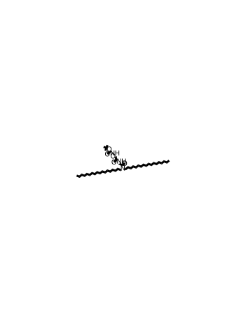 CCCCCCCCCCCCCCCCCCN(CCCCCCCCCCCCCCCCCC)C(=O)CNC(=O)CONC(=O)OC(C)(C)C